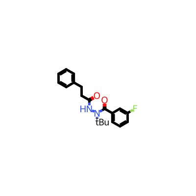 CC(C)(C)N(NC(=O)CCc1ccccc1)C(=O)c1cccc(F)c1